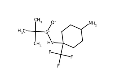 CC(C)(C)[S+]([O-])NC1(C(F)(F)F)CCC(N)CC1